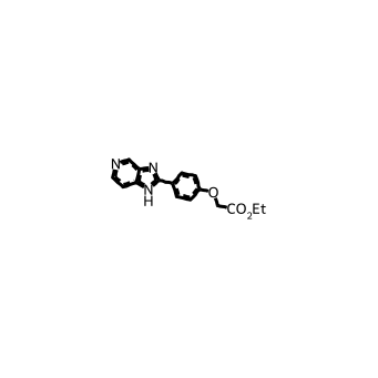 CCOC(=O)COc1ccc(-c2nc3cnccc3[nH]2)cc1